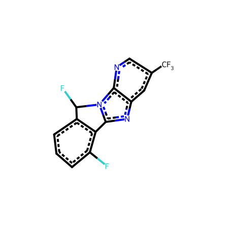 Fc1cccc2c1-c1nc3cc(C(F)(F)F)cnc3n1C2F